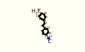 [C-]#[N+]c1ccc(/C=C/c2ccc(C)cc2)cc1